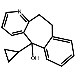 OC1(C2CC2)c2ccccc2CCc2ncccc21